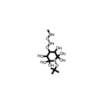 CNONOC1C(O)C(O)(O)N(OC(C)(C)C)C(O)(O)C1O